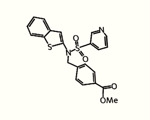 COC(=O)c1ccc(CN(c2cc3ccccc3s2)S(=O)(=O)c2cccnc2)cc1